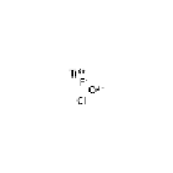 [Cl-].[F-].[O-2].[Ti+4]